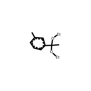 CCOC(C)(OCC)c1[c]ccc(C)c1